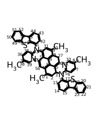 CC1=CC(N(c2ccc(C)cn2)c2cccc3c2sc2ccccc23)C2=CCc3c(C)cc(N(c4ccc(C)cn4)c4cccc5c4sc4ccccc45)c4ccc1c2c34